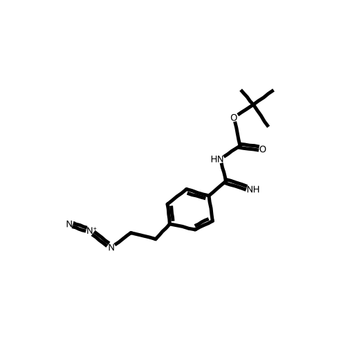 CC(C)(C)OC(=O)NC(=N)c1ccc(CCN=[N+]=[N-])cc1